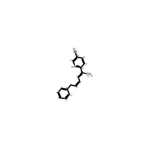 C/C(=C\C=C/Cc1ccccc1)c1ccc(Br)cn1